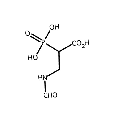 O=CNCC(C(=O)O)P(=O)(O)O